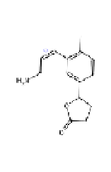 Cc1ccc(C2CCC(=O)O2)cc1/C=C\CN